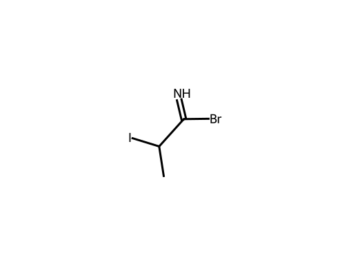 CC(I)C(=N)Br